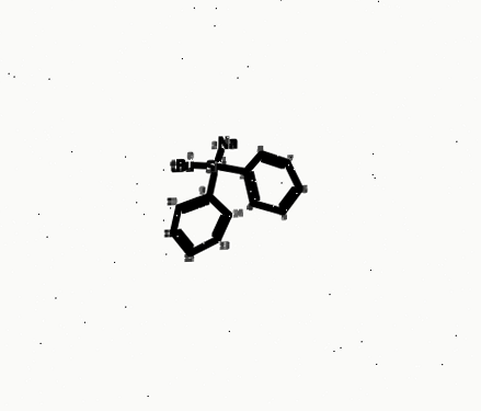 CC(C)(C)[Si]([Na])(c1ccccc1)c1ccccc1